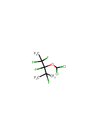 FC(F)(F)C(F)(F)C(F)(OC(Cl)Cl)C(F)(C(F)(F)F)C(F)(F)F